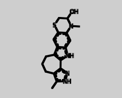 Cc1[nH]nc2c1CCCc1c-2[nH]c2cc3c(cc12)SCC(O)N3C